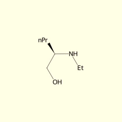 CCC[C@H](CO)NCC